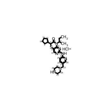 CCC(C)N1C(=O)C(C2CCCC2)Sc2cnc(Nc3ccc(CN4CCNCC4)cn3)nc21.Cl